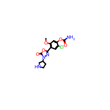 COc1cc(OC(N)=O)c(Cl)cc1-c1nn(C2CCNC2)c(=O)o1